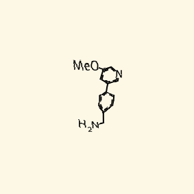 COc1cncc(-c2ccc(CN)cc2)c1